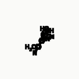 Cc1cc(C2CCN(C(=O)C3NCC4(CC4)CC3C(=O)NO)CC2)ccc1C#N